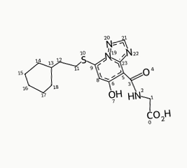 O=C(O)CNC(=O)c1c(O)cc(SCCC2CCCCC2)n2ncnc12